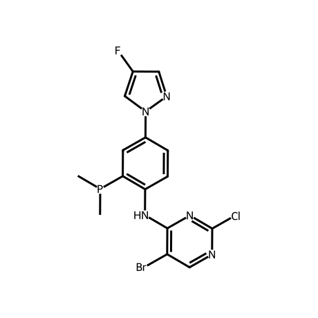 CP(C)c1cc(-n2cc(F)cn2)ccc1Nc1nc(Cl)ncc1Br